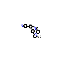 C=C(C1CCCCC1)N(Cc1ccc(-c2ccc(N(C)C)cc2)cc1)c1cccc(-c2cccc(CC)n2)c1